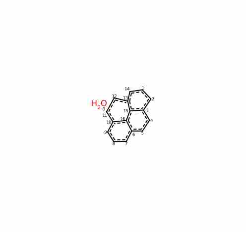 O.c1cc2ccc3cccc4ccc(c1)c2c34